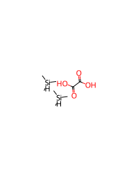 C[SiH](C)C.C[SiH](C)C.O=C(O)C(=O)O